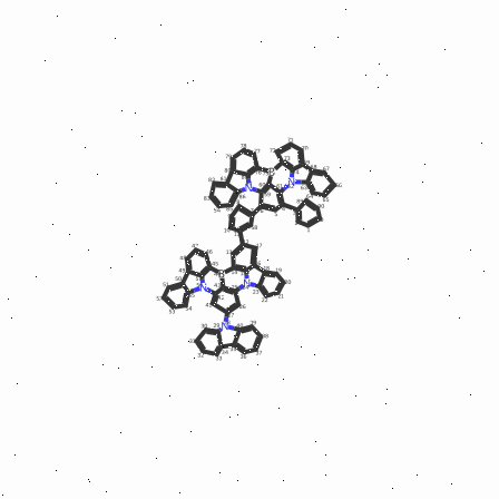 c1ccc(-c2cc(-c3cccc(-c4cc5c6c(c4)c4ccccc4n6-c4cc(-n6c7ccccc7c7ccccc76)cc6c4B5c4cccc5c7ccccc7n-6c45)c3)c3c4c2-n2c5ccccc5c5cccc(c52)B4c2cccc4c5ccccc5n-3c24)cc1